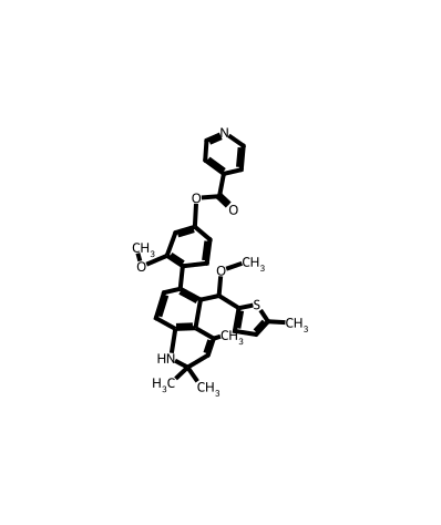 COc1cc(OC(=O)c2ccncc2)ccc1-c1ccc2c(c1C(OC)c1ccc(C)s1)C(C)=CC(C)(C)N2